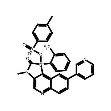 Cc1ccc(S(=O)(=O)O[N+]2(c3ccccc3C(F)(F)F)C(=O)N(C)c3cnc4ccc(-c5cccnc5)cc4c32)cc1